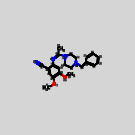 COc1cc(C#N)c(N=C(C)N2CCN(Cc3ccccc3)CC2)cc1OC